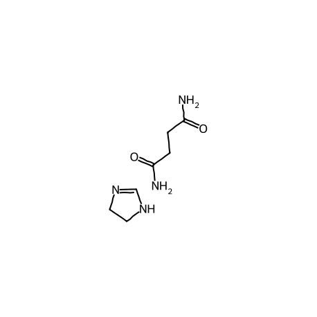 C1=NCCN1.NC(=O)CCC(N)=O